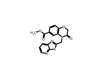 COC(=O)c1ccc2c(c1)N(Cc1nc3cccnc3s1)C(=O)CO2